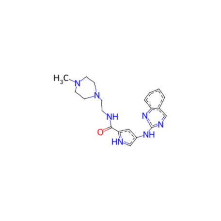 CN1CCN(CCNC(=O)c2cc(Nc3ncc4ccccc4n3)c[nH]2)CC1